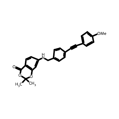 COc1ccc(C#Cc2ccc(CNc3ccc4c(c3)OC(C)(C)OC4=O)cc2)cc1